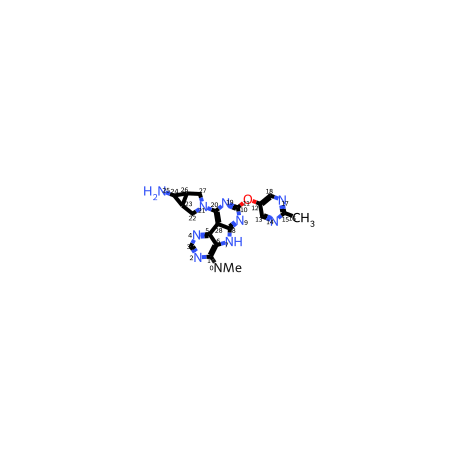 CNc1ncnc2c1[nH]c1nc(Oc3cnc(C)nc3)nc(N3CC4C(N)C4C3)c12